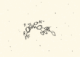 O=C([O-])c1cc(NC(=O)C2(c3ccc(C(F)(F)F)cc3F)CC2)ccc1-c1cnn(C2CCC2)c1.[K+]